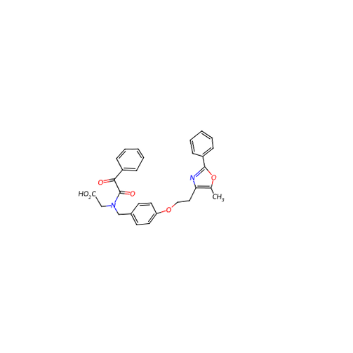 Cc1oc(-c2ccccc2)nc1CCOc1ccc(CN(CC(=O)O)C(=O)C(=O)c2ccccc2)cc1